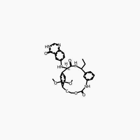 CCC1NC(=O)[C@H](Nc2ccc3nc[nH]c(=O)c3c2)c2cc(OC)c(c(OC)c2)CCOC(=O)Nc2cccc1c2